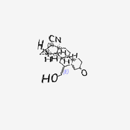 C[C@]12CC[C@H]3[C@@H](C/C(=C\O)C4=CC(=O)CC[C@@H]43)[C@@H]1[C@@H]1C[C@@H]1[C@@H]2C#N